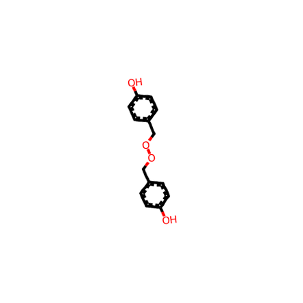 Oc1ccc(COOCc2ccc(O)cc2)cc1